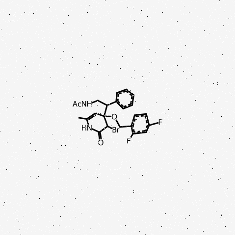 CC(=O)NCC(c1ccccc1)C1(OCc2ccc(F)cc2F)C=C(C)NC(=O)C1Br